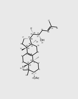 CC(=O)O[C@H]1CC[C@]2(C)C3=C(CC[C@H]2C1(C)C)[C@]1(C)CC[C@H]([C@H](C)[C@@H](O)CC=C(C)C)[C@@]1(C)CC3